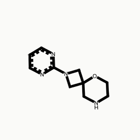 [c]1cnc(N2CC3(CNCCO3)C2)nc1